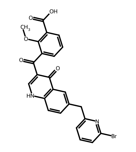 COc1c(C(=O)O)cccc1C(=O)c1c[nH]c2ccc(Cc3cccc(Br)n3)cc2c1=O